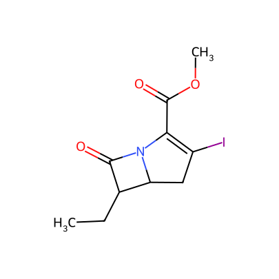 CCC1C(=O)N2C(C(=O)OC)=C(I)CC12